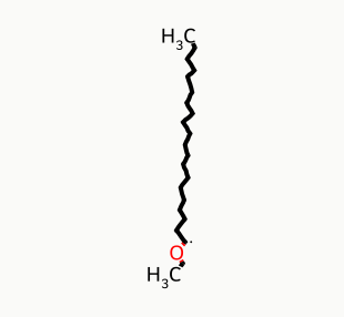 CCCCCCCCCCCCCCCCCCC[CH]OCC